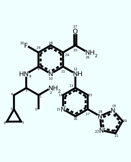 CC(N)C(CC1CC1)Nc1nc(Nc2cncc(-n3nccn3)c2)c(C(N)=O)cc1F